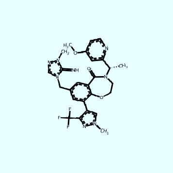 COc1ccnc([C@H](C)N2CCOc3c(cc(Cn4cnn(C)c4=N)cc3-c3cn(C)nc3C(F)(F)F)C2=O)c1